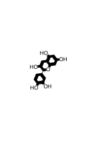 OC1=Cc2c(O)cc(O)cc2O[C@@H]1c1ccc(O)c(O)c1